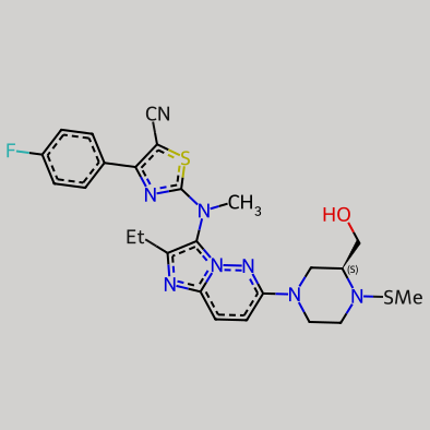 CCc1nc2ccc(N3CCN(SC)[C@H](CO)C3)nn2c1N(C)c1nc(-c2ccc(F)cc2)c(C#N)s1